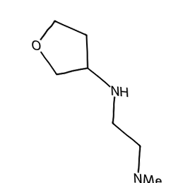 CNCCNC1CCOC1